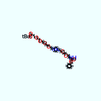 CC(C)(C)OC(=O)CCOCCOCCOCCOCCN1CCN(CCOCCOCCNC(=O)OCc2ccccc2)CC1